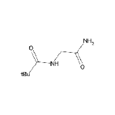 CC(C)(C)C(=O)NCC(N)=O